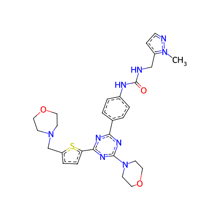 Cn1nccc1CNC(=O)Nc1ccc(-c2nc(-c3ccc(CN4CCOCC4)s3)nc(N3CCOCC3)n2)cc1